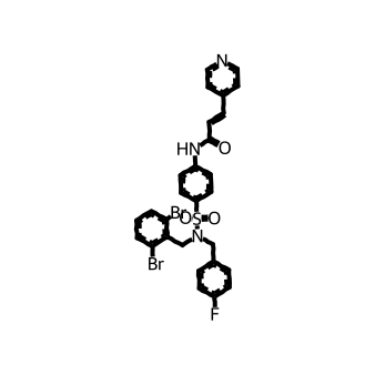 O=C(/C=C/c1ccncc1)Nc1ccc(S(=O)(=O)N(Cc2ccc(F)cc2)Cc2c(Br)cccc2Br)cc1